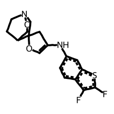 Fc1sc2cc(NC3=COC4(C3)CN3CCC4CC3)ccc2c1F